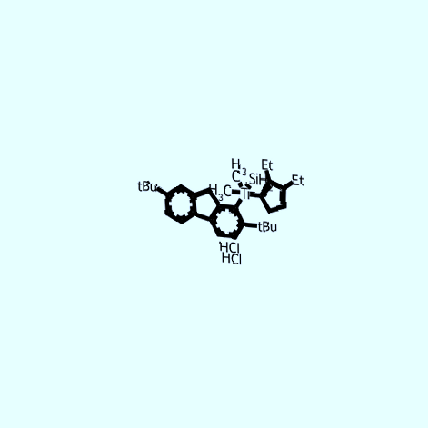 CCC1=CC[C]([Ti]([CH3])([CH3])(=[SiH2])[c]2c(C(C)(C)C)ccc3c2Cc2cc(C(C)(C)C)ccc2-3)=C1CC.Cl.Cl